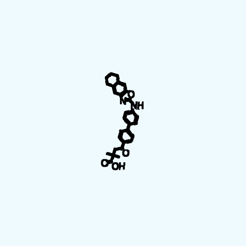 CC(C)(CC(=O)c1ccc(-c2ccc(Nc3nc4cc5c(cc4o3)CCCC5)cc2)cc1)C(=O)O